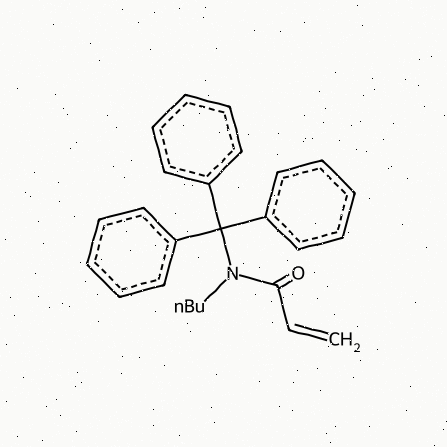 C=CC(=O)N(CCCC)C(c1ccccc1)(c1ccccc1)c1ccccc1